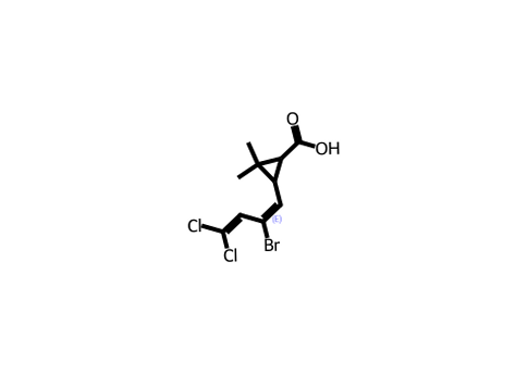 CC1(C)C(/C=C(/Br)C=C(Cl)Cl)C1C(=O)O